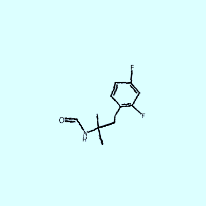 CC(C)(Cc1ccc(F)cc1F)NC=O